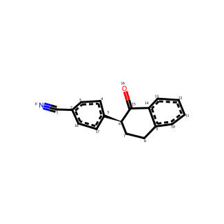 N#Cc1ccc([C@@H]2CCc3ccccc3C2=O)cc1